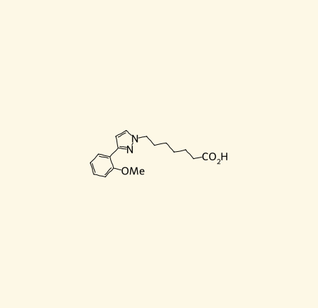 COc1ccccc1-c1ccn(CCCCCCC(=O)O)n1